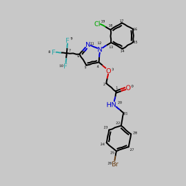 O=C(COc1cc(C(F)(F)F)nn1-c1ccccc1Cl)NCc1ccc(Br)cc1